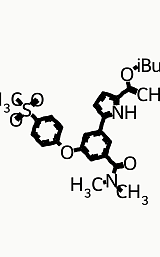 C=C(OC(C)CC)c1ccc(-c2cc(Oc3ccc(S(C)(=O)=O)cc3)cc(C(=O)N(C)C)c2)[nH]1